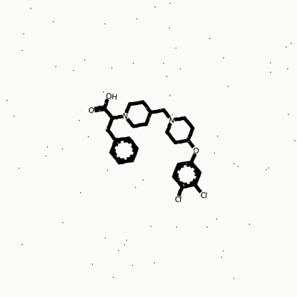 O=C(O)C(Cc1ccccc1)N1CCC(CN2CCC(Oc3ccc(Cl)c(Cl)c3)CC2)CC1